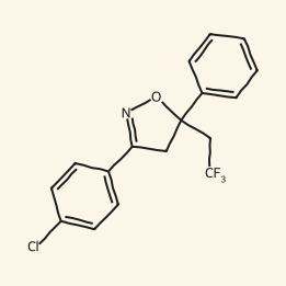 FC(F)(F)CC1(c2ccccc2)CC(c2ccc(Cl)cc2)=NO1